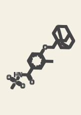 Cc1cc(C(=O)NS(C)(=O)=O)ccc1OCC12CC3CC(CC(C3)C1)C2